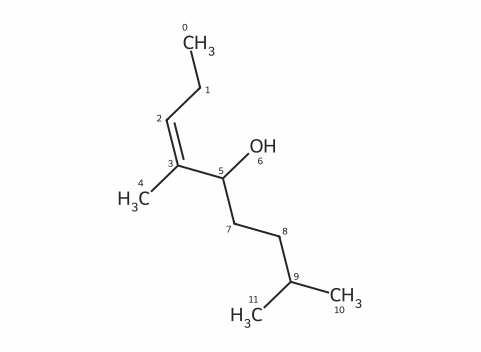 CCC=C(C)C(O)CCC(C)C